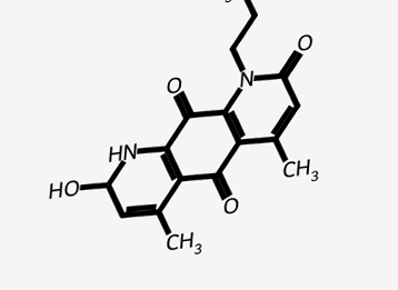 CCCn1c2c(c(C)cc1=O)C(=O)C1=C(NC(O)C=C1C)C2=O